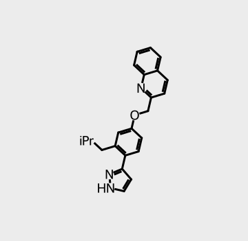 CC(C)Cc1cc(OCc2ccc3ccccc3n2)ccc1-c1cc[nH]n1